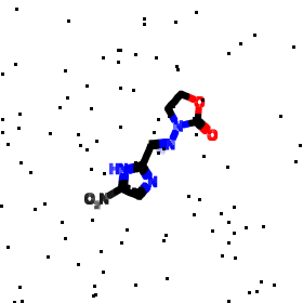 O=C1OCCN1/N=C/c1ncc([N+](=O)[O-])[nH]1